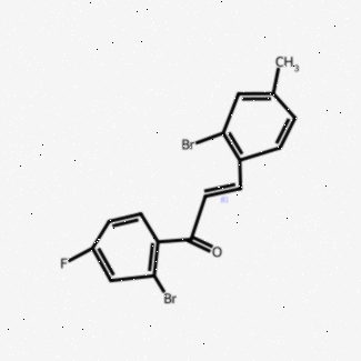 Cc1ccc(/C=C/C(=O)c2ccc(F)cc2Br)c(Br)c1